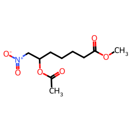 COC(=O)CCCCC(C[N+](=O)[O-])OC(C)=O